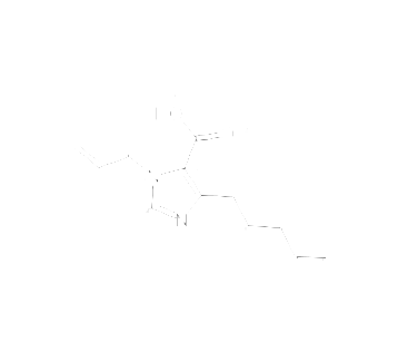 C=CCn1cnc(CCCCC)c1C(=O)O